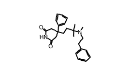 CN(CCc1ccccc1)C(C)(C)CCC1(c2ccccc2)CC(=O)NC(=O)C1